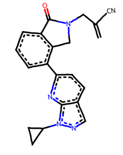 C=C(C#N)CN1Cc2c(cccc2-c2ccc3cnn(C4CC4)c3n2)C1=O